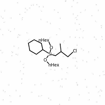 CCCCCCO[Si](CC(C)CCl)(OCCCCCC)C1CCCCC1